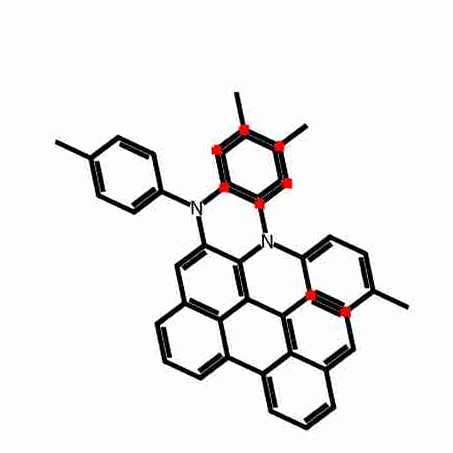 Cc1ccc(N(c2ccc(C)cc2)c2cc3cccc4c5cccc6cccc(c(c2N(c2ccc(C)cc2)c2ccc(C)cc2)c34)c65)cc1